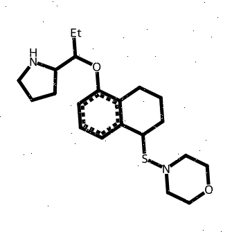 CCC(Oc1cccc2c1CCCC2SN1CCOCC1)C1CCCN1